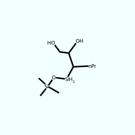 CCC[C]([SiH2]O[Si](C)(C)C)C(O)CO